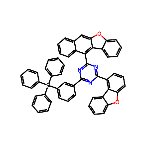 c1ccc([Si](c2ccccc2)(c2ccccc2)c2cccc(-c3nc(-c4cccc5oc6ccccc6c45)nc(-c4c5ccccc5cc5oc6ccccc6c45)n3)c2)cc1